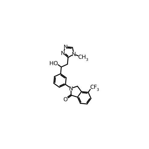 Cn1cnnc1CC(O)c1cccc(N2Cc3c(cccc3C(F)(F)F)C2=O)c1